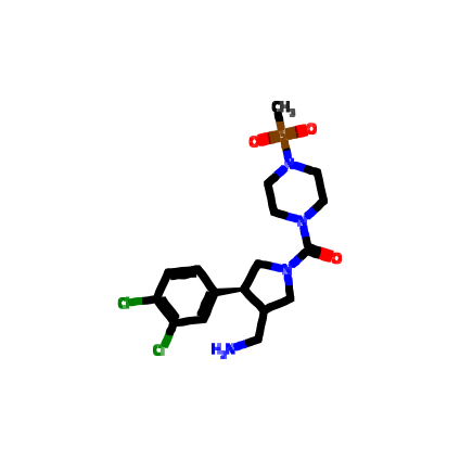 CS(=O)(=O)N1CCN(C(=O)N2CC(CN)[C@@H](c3ccc(Cl)c(Cl)c3)C2)CC1